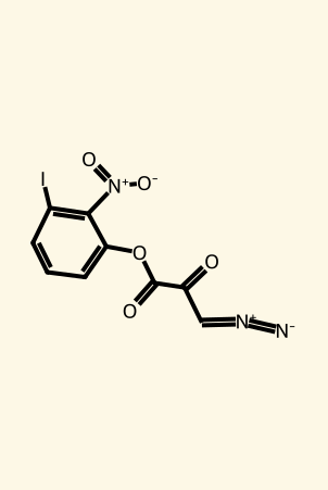 [N-]=[N+]=CC(=O)C(=O)Oc1cccc(I)c1[N+](=O)[O-]